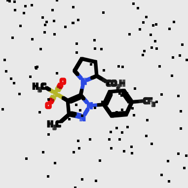 Cc1nn(-c2ccc(C(F)(F)F)cc2)c(N2CCCC2C(=O)O)c1S(C)(=O)=O